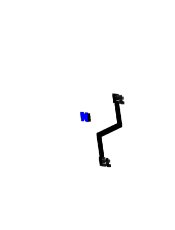 [C]CCCCC.[N]